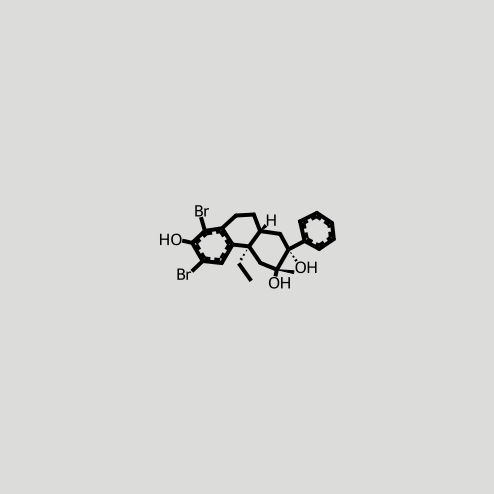 CC[C@@]12C[C@@](C)(O)[C@](O)(c3ccccc3)C[C@H]1CCc1c2cc(Br)c(O)c1Br